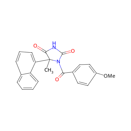 COc1ccc(C(=O)N2C(=O)NC(=O)C2(C)c2cccc3ccccc23)cc1